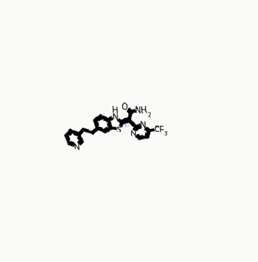 NC(=O)/C(=C1\Nc2ccc(CCc3cccnc3)cc2S1)c1nccc(C(F)(F)F)n1